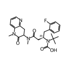 CN1C(=O)C(N(C)C(=O)C[C@@H](Cc2ccccc2F)N(C(=O)O)C(C)(C)C)Cc2ncccc21